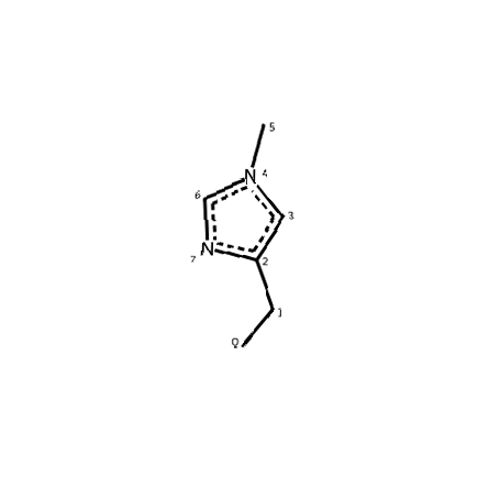 [CH2]Cc1cn(C)cn1